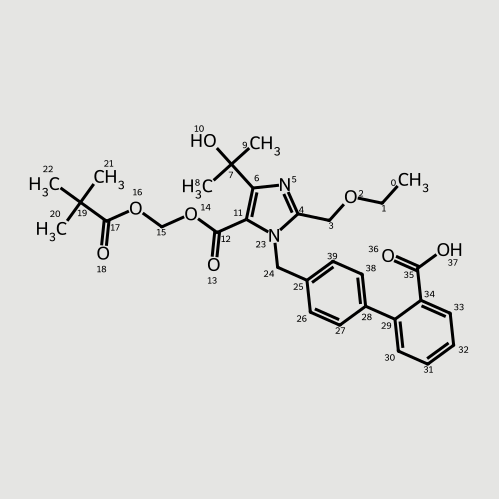 CCOCc1nc(C(C)(C)O)c(C(=O)OCOC(=O)C(C)(C)C)n1Cc1ccc(-c2ccccc2C(=O)O)cc1